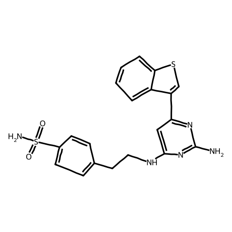 Nc1nc(NCCc2ccc(S(N)(=O)=O)cc2)cc(-c2csc3ccccc23)n1